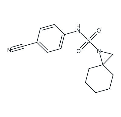 N#Cc1ccc(NS(=O)(=O)N2CC23CCCCC3)cc1